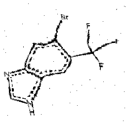 FC(F)(F)c1cc2[nH]cnc2cc1Br